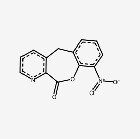 O=C1Oc2c(cccc2[N+](=O)[O-])Cc2cccnc21